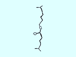 CC(C)CCCCOC([O])CCCC(C)C